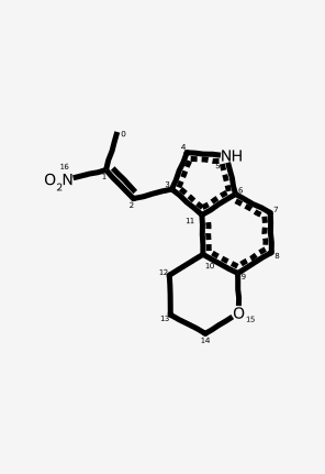 C/C(=C\c1c[nH]c2ccc3c(c12)CCCO3)[N+](=O)[O-]